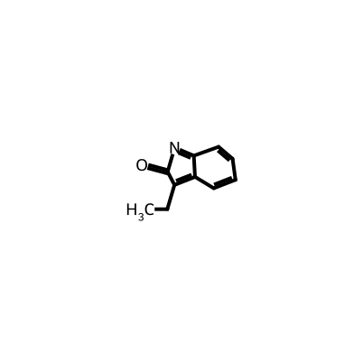 CCC1=c2ccccc2=NC1=O